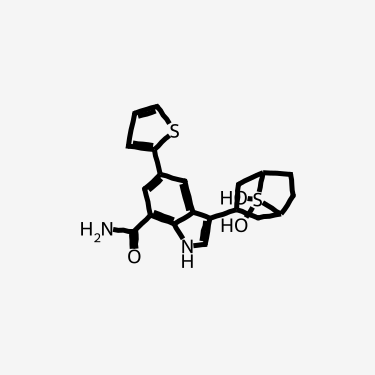 NC(=O)c1cc(-c2cccs2)cc2c(C3CC4CCC(C3)S4(O)O)c[nH]c12